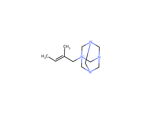 C/C=C(\C)C[N+]12CN3CN(CN(C3)C1)C2